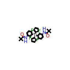 CC(C)(C)C(=O)Nc1ccc(F)[c]([Ti]([C]2=CC=CC2)([C]2=CC=CC2)[c]2c(F)ccc(NC(=O)C(C)(C)C)c2F)c1F